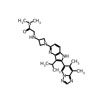 Cc1c(-c2[nH]c3ccc(N4CC(NCC(=O)N(C)C)C4)nc3c2C(C)C)cn2ncnc2c1C